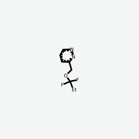 CCC(F)(F)OCc1cccnn1